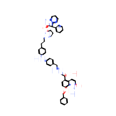 NC(=O)C(c1ccccc1)(c1ccccc1)[C@@H]1CCN(CCCc2ccc(Nc3ccc(CCNC[C@@H](O)c4ccc(OCc5ccccc5)c5[nH]c(=O)ccc45)cc3)cc2)C1